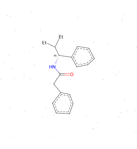 CCC(CC)[C@@H](NC(=O)Cc1ccccc1)c1ccccc1